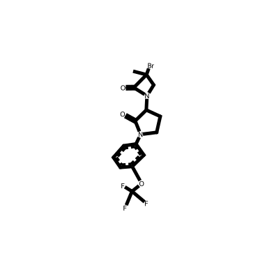 CC1(Br)CN(C2CCN(c3cccc(OC(F)(F)F)c3)C2=O)C1=O